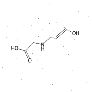 O=C(O)CNCC=CO